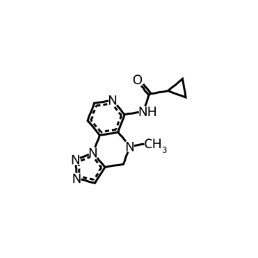 CN1Cc2cnnn2-c2ccnc(NC(=O)C3CC3)c21